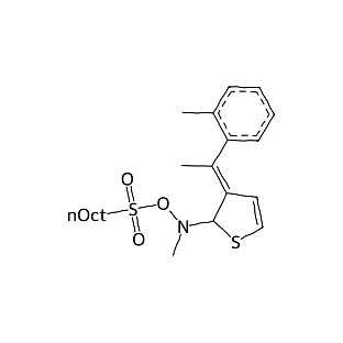 CCCCCCCCS(=O)(=O)ON(C)C1SC=C/C1=C(/C)c1ccccc1C